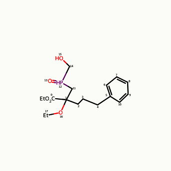 CCOC(=O)C(CCCc1ccccc1)(C[PH](=O)CO)OCC